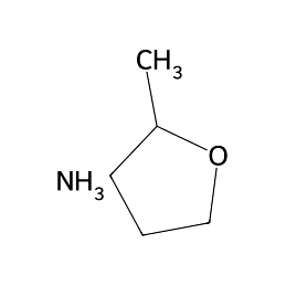 CC1CCCO1.N